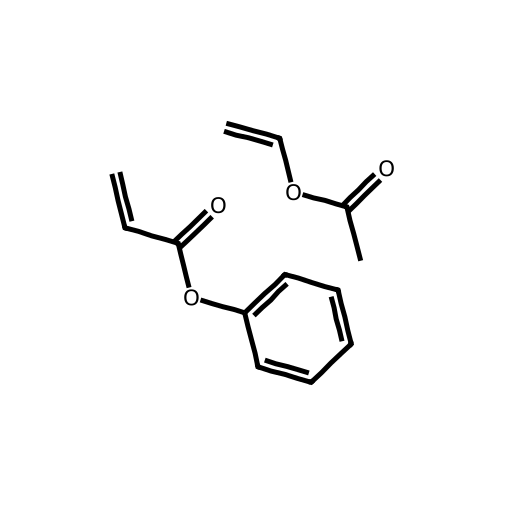 C=CC(=O)Oc1ccccc1.C=COC(C)=O